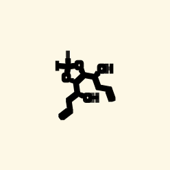 C=CC[C@H](O)[C@@H]1OC(I)(I)O[C@H]1[C@@H](O)CC=C